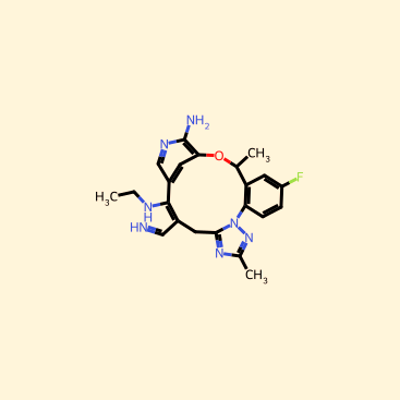 CCN/C1=C(\C=N)Cc2nc(C)nn2-c2ccc(F)cc2C(C)Oc2cc1cnc2N